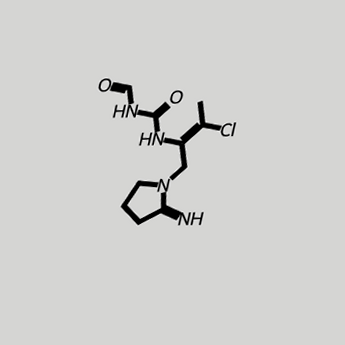 C/C(Cl)=C(/CN1CCCC1=N)NC(=O)NC=O